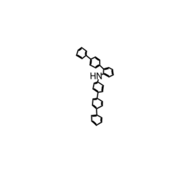 c1ccc(-c2ccc(-c3ccc(Nc4ccccc4-c4ccc(-c5ccccc5)cc4)cc3)cc2)cc1